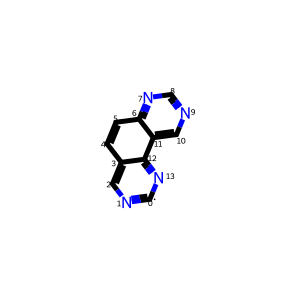 [c]1ncc2ccc3ncncc3c2n1